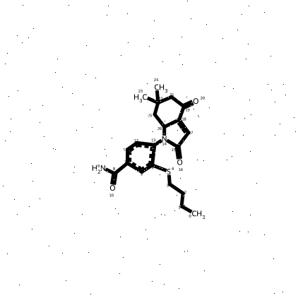 CCCCSc1cc(C(N)=O)ccc1N1C(=O)C=C2C(=O)CC(C)(C)CC21